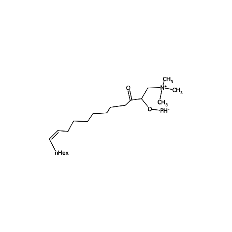 CCCCCC/C=C\CCCCCCCC(=O)C(C[N+](C)(C)C)O[PH-]